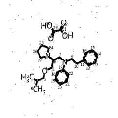 CC(C)COCC(CN(CCc1ccccc1)c1ccccc1)N1CCCC1.O=C(O)C(=O)O